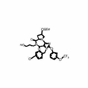 COC1CC2C(=O)N(CCCO)C(=O)c3c(nc(Oc4cccc(OC(F)(F)F)c4)n3Cc3ccc(Cl)cc3)N2C1